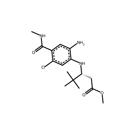 CNC(=O)c1cc(N)c(N[C@H](CC(=O)OC)C(C)(C)C)cc1Cl